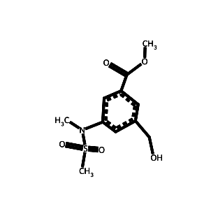 COC(=O)c1cc(CO)cc(N(C)S(C)(=O)=O)c1